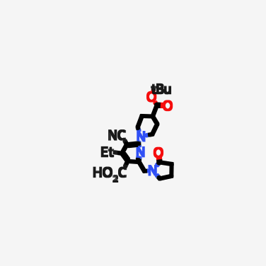 CCc1c(C#N)c(N2CCC(C(=O)OC(C)(C)C)CC2)nc(CN2CCCC2=O)c1C(=O)O